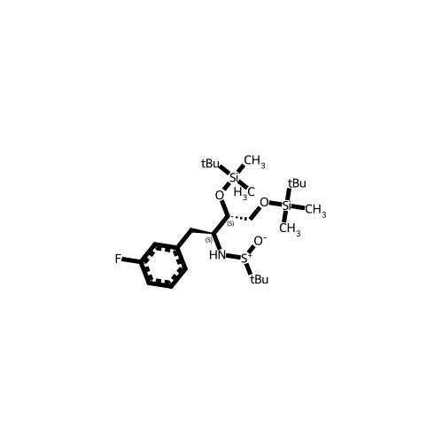 CC(C)(C)[S+]([O-])N[C@@H](Cc1cccc(F)c1)[C@@H](CO[Si](C)(C)C(C)(C)C)O[Si](C)(C)C(C)(C)C